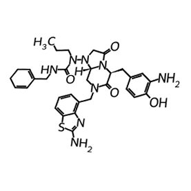 CCCN(C(=O)NCC1=CCCC=C1)N1CC(=O)N2[C@@H](Cc3ccc(O)c(N)c3)C(=O)N(Cc3cccc4sc(N)nc34)C[C@@H]21